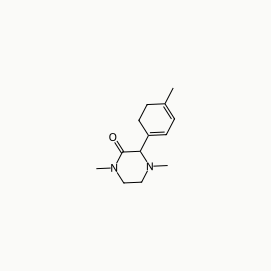 CC1=CC=C(C2C(=O)N(C)CCN2C)CC1